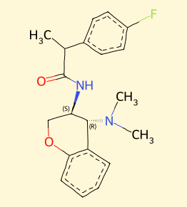 CC(C(=O)N[C@@H]1COc2ccccc2[C@H]1N(C)C)c1ccc(F)cc1